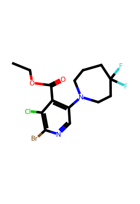 CCOC(=O)c1c(N2CCCC(F)(F)CC2)cnc(Br)c1Cl